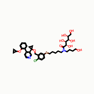 O=C([C@@H](O)[C@@H](O)[C@H](O)[C@@H](O)CO)N(CCCCO)CCCCCSc1ccc(Cl)c(COC2(c3cnccc3-c3ccccc3OC3CC3)CC2)c1